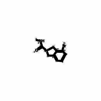 CNC(=O)N1Cc2cccc(Br)c2C1